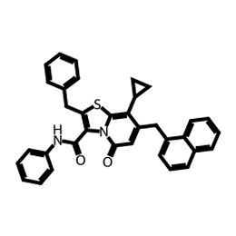 O=C(Nc1ccccc1)c1c(Cc2ccccc2)sc2c(C3CC3)c(Cc3cccc4ccccc34)cc(=O)n12